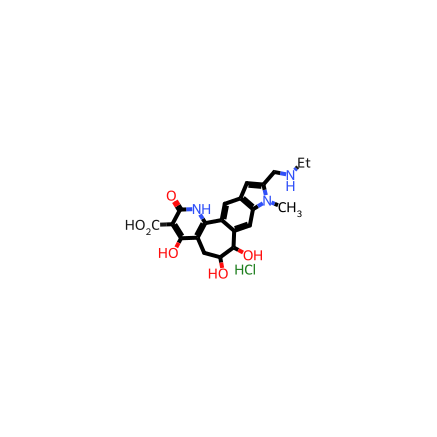 CCNCc1cc2cc3c(cc2n1C)C(O)C(O)Cc1c-3[nH]c(=O)c(C(=O)O)c1O.Cl